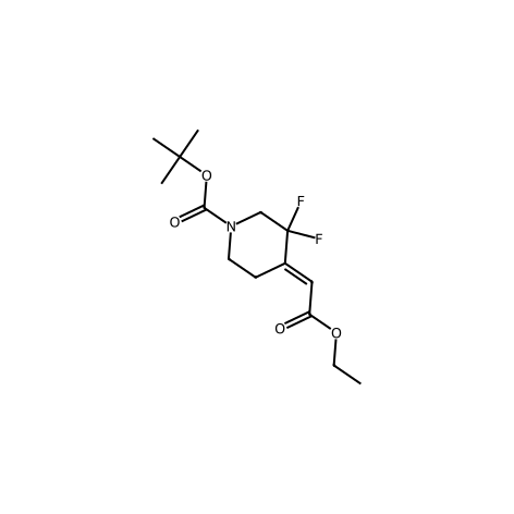 CCOC(=O)C=C1CCN(C(=O)OC(C)(C)C)CC1(F)F